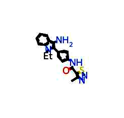 CCn1c(-c2ccc(NC(=O)c3snnc3C)cc2)c(N)c2ccccc21